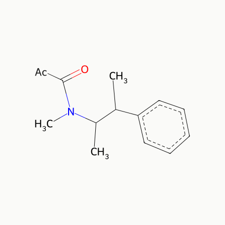 CC(=O)C(=O)N(C)C(C)C(C)c1ccccc1